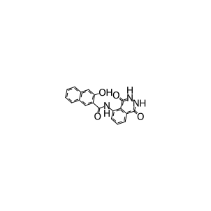 O=C(Nc1cccc2c(=O)[nH][nH]c(=O)c12)c1cc2ccccc2cc1O